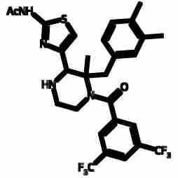 CC(=O)Nc1nc(C2NCCN(C(=O)c3cc(C(F)(F)F)cc(C(F)(F)F)c3)C2(C)Cc2ccc(C)c(C)c2)cs1